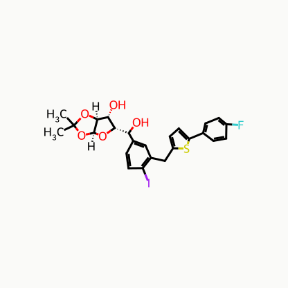 CC1(C)O[C@@H]2O[C@@H](C(O)c3ccc(I)c(Cc4ccc(-c5ccc(F)cc5)s4)c3)[C@@H](O)[C@@H]2O1